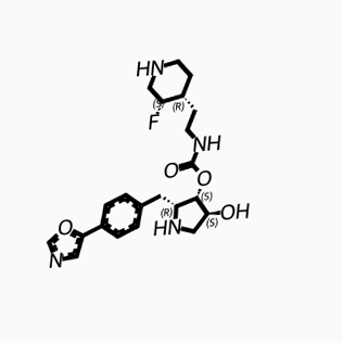 O=C(NCC[C@H]1CCNC[C@H]1F)O[C@@H]1[C@@H](O)CN[C@@H]1Cc1ccc(-c2cnco2)cc1